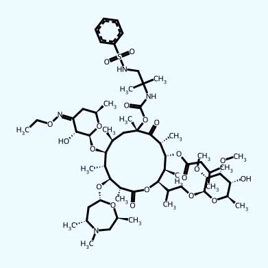 CCO/N=C1/C[C@@H](C)O[C@@H](O[C@@H]2[C@@H](C)[C@H](O[C@H]3C[C@@H](C)N(C)C[C@H](C)O3)[C@@H](C)C(=O)O[C@H](C(C)CO[C@@H]3O[C@H](C)[C@@H](O)[C@@H](OC)[C@H]3OC)[C@H](C)[C@@H](OC(=O)CC(C)C)[C@@H](C)C(=O)[C@@](C)(OC(=O)NC(C)(C)CNS(=O)(=O)c3ccccc3)C[C@@H]2C)[C@@H]1O